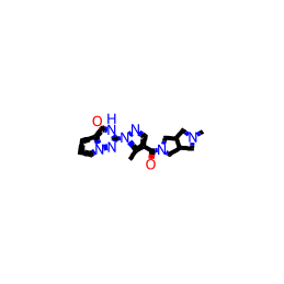 Cc1c(C(=O)N2CC3CN(C)CC3C2)cnn1-c1nn2cccc2c(=O)[nH]1